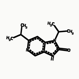 CC(C)c1cc2c(cn1)[nH]c(=O)n2C(C)C